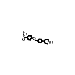 NC(=O)c1ccc(OCc2ccc(C3CCNCC3)cc2)cc1